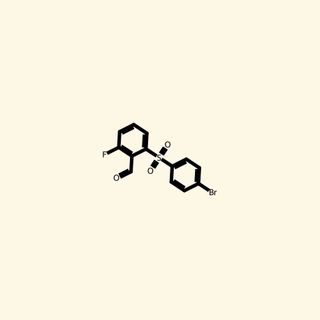 O=Cc1c(F)cccc1S(=O)(=O)c1ccc(Br)cc1